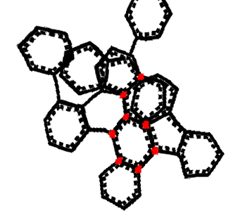 c1ccc(-c2ccccc2-c2c(-c3ccccc3)cccc2N(c2ccccc2-n2c3ccccc3c3ccccc32)c2cccc3c2c2ccccc2n3-c2ccccc2)cc1